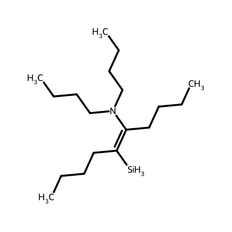 CCCCC([SiH3])=C(CCCC)N(CCCC)CCCC